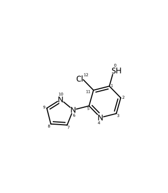 Sc1ccnc(-n2cccn2)c1Cl